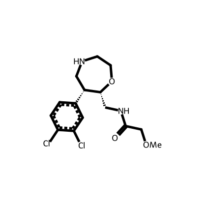 COCC(=O)NC[C@H]1OCCNC[C@H]1c1ccc(Cl)c(Cl)c1